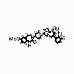 CC[C@H](C)n1c(=O)c(-c2cccc(F)c2Cl)cn(CC(=O)N2CCC(N3CCc4cc(OC)ccc4NC3=O)CC2)c1=O